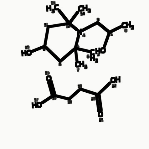 CC(O)CN1C(C)(C)CC(O)CC1(C)C.O=C(O)CCC(=O)O